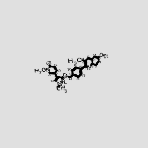 CCOc1ccc2nc(-c3ccc(COc4nn(C)cc4-c4ccc(=O)n(C)c4)cc3)c(C)cc2c1